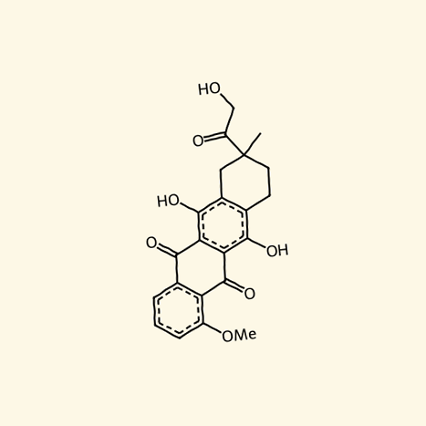 COc1cccc2c1C(=O)c1c(O)c3c(c(O)c1C2=O)CC(C)(C(=O)CO)CC3